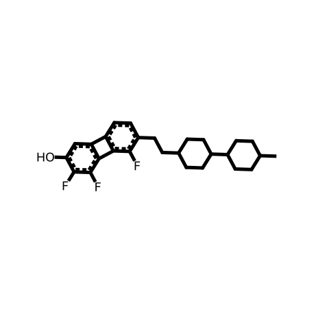 CC1CCC(C2CCC(CCc3ccc4c(c3F)-c3c-4cc(O)c(F)c3F)CC2)CC1